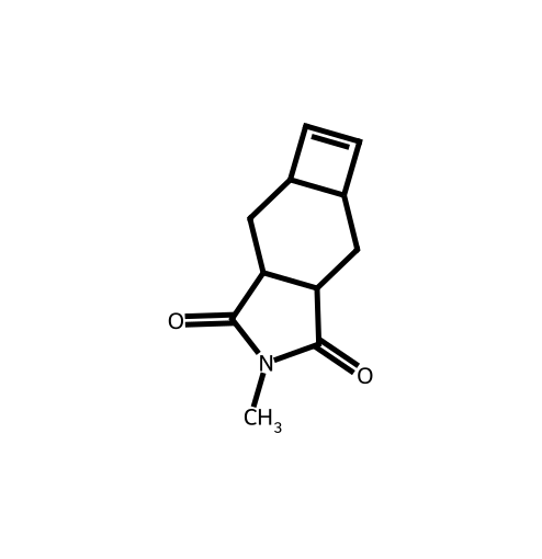 CN1C(=O)C2CC3C=CC3CC2C1=O